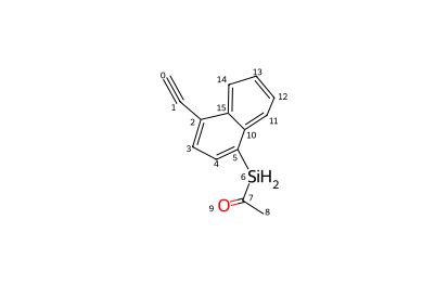 C#Cc1ccc([SiH2]C(C)=O)c2ccccc12